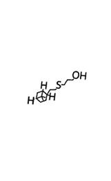 CC1(C)[C@H]2CC[C@@H](CCSCCCO)[C@H]1C2